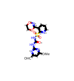 COc1cc(C=O)nc(NC(=O)NS(=O)(=O)c2ncccc2C2=NOCCO2)n1